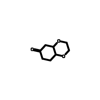 O=C1CCC2OCCOC2C1